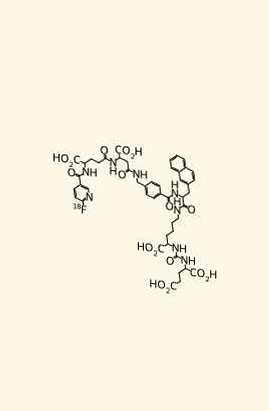 O=C(O)CCC(NC(=O)NC(CCCCNC(=O)C(Cc1ccc2ccccc2c1)NC(=O)c1ccc(CNC(=O)CC(NC(=O)CCC(NC(=O)c2ccc([18F])nc2)C(=O)O)C(=O)O)cc1)C(=O)O)C(=O)O